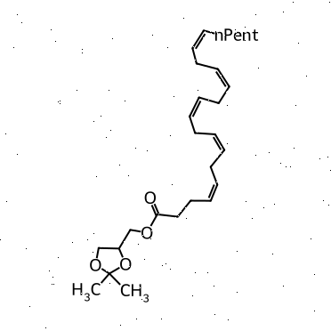 CCCCC/C=C\C/C=C\C/C=C\C/C=C\C/C=C\CCC(=O)OCC1COC(C)(C)O1